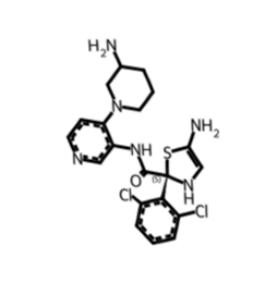 NC1=CN[C@@](C(=O)Nc2cnccc2N2CCCC(N)C2)(c2c(Cl)cccc2Cl)S1